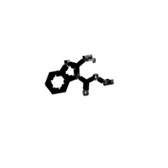 CC(C)(C)OC(=O)n1c(N)nc2ccccc21